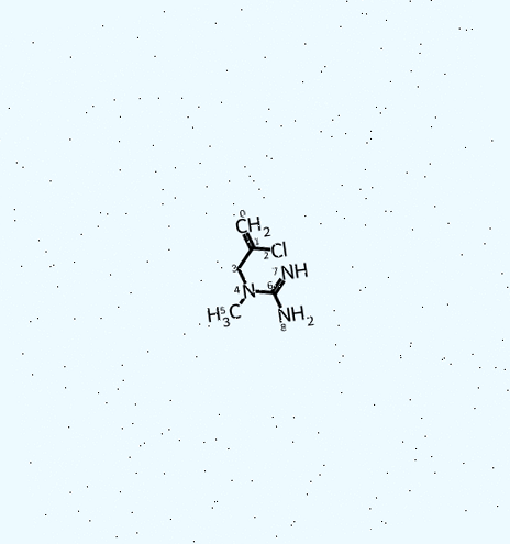 C=C(Cl)CN(C)C(=N)N